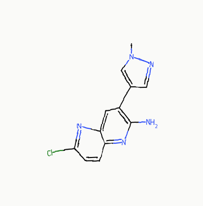 Cn1cc(-c2cc3nc(Cl)ccc3nc2N)cn1